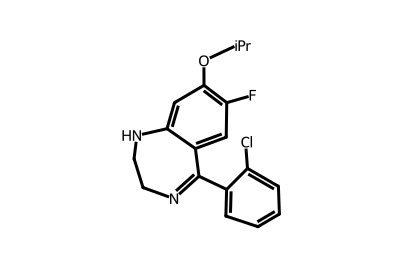 CC(C)Oc1cc2c(cc1F)C(c1ccccc1Cl)=NCCN2